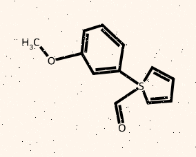 COc1cc[c]c(S2(C=O)C=CC=C2)c1